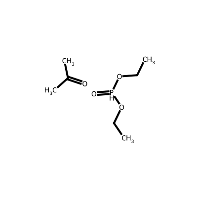 CC(C)=O.CCO[PH](=O)OCC